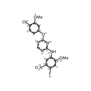 COc1cc(Oc2ncnc(Nc3cc([N+](=O)[O-])c(F)cc3OC)n2)ccc1Cl